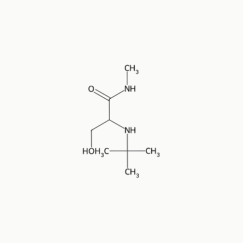 CNC(=O)C(CO)NC(C)(C)C